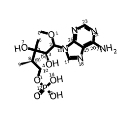 COC([C@@H](O)C(C)(O)[C@H](C)COP(=O)(O)O)n1cnc2c(N)ncnc21